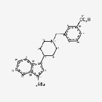 CCCCn1cc(C2CCN(Cc3cccc(C(=O)O)c3)CC2)c2ccncc21